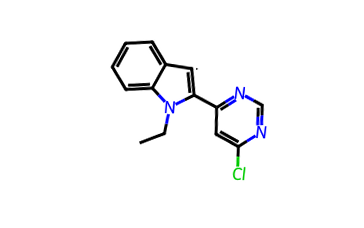 CCn1c(-c2cc(Cl)ncn2)[c]c2ccccc21